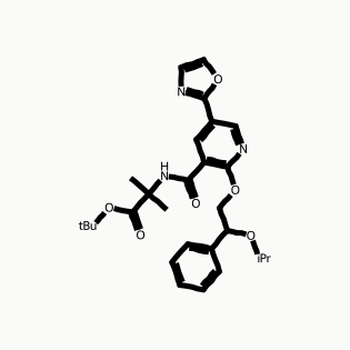 CC(C)OC(COc1ncc(-c2ncco2)cc1C(=O)NC(C)(C)C(=O)OC(C)(C)C)c1ccccc1